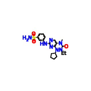 CCN1C(=O)N(C)c2cnc(Nc3cccc(S(N)(=O)=O)c3)nc2N1C1CCCC1